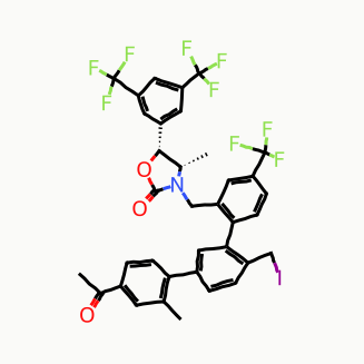 CC(=O)c1ccc(-c2ccc(CI)c(-c3ccc(C(F)(F)F)cc3CN3C(=O)O[C@H](c4cc(C(F)(F)F)cc(C(F)(F)F)c4)[C@@H]3C)c2)c(C)c1